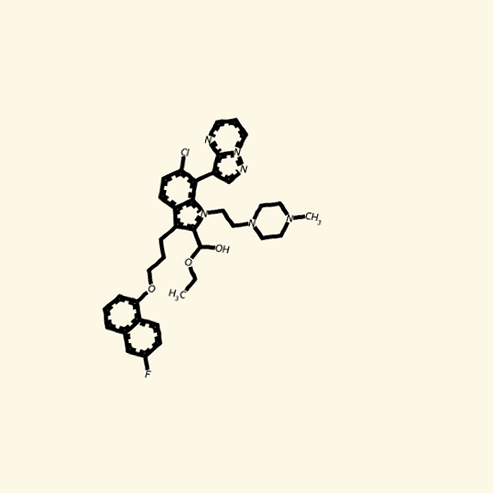 CCOC(O)c1c(CCCOc2cccc3cc(F)ccc23)c2ccc(Cl)c(-c3cnn4cccnc34)c2n1CCN1CCN(C)CC1